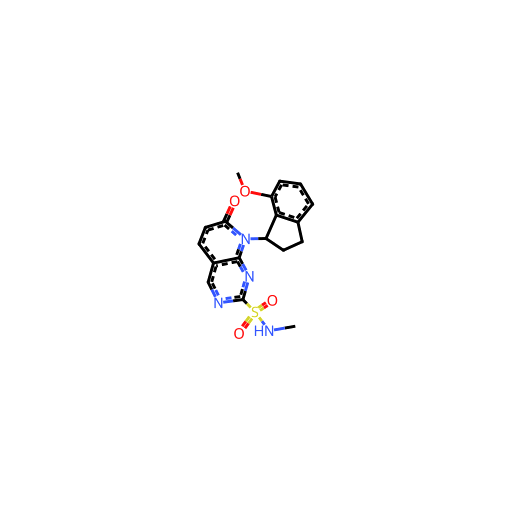 CNS(=O)(=O)c1ncc2ccc(=O)n(C3CCc4cccc(OC)c43)c2n1